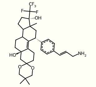 CC1(C)COC2(CCC3=C4C(CC[C@@]3(O)C2)C2CC[C@@](O)(C(F)(F)C(F)(F)F)C2(C)C[C@@H]4c2ccc(/C=C/CN)cc2)OC1